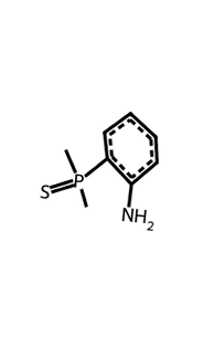 CP(C)(=S)c1ccccc1N